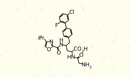 CC(C)c1coc(C(=O)NC(Cc2ccc(-c3cc(Cl)ccc3F)cc2)CC(NC(=O)CN)C(=O)O)n1